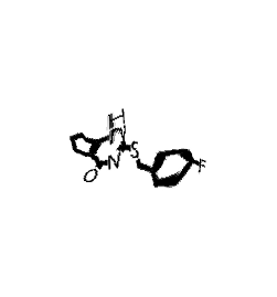 O=c1nc(SCc2ccc(F)cc2)[nH]c2c1CCC2